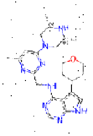 Cc1cc(N2C[C@@H](C)N[C@@H](C)C2)nc(CNc2ncnc3[nH]cc(C4CCOCC4)c23)n1